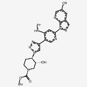 CC(C)Nc1cc(-n2ncc3cc(C#N)cnc32)ncc1-c1cn([C@@H]2CCN(C(=O)OC(C)(C)C)C[C@H]2O)nn1